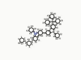 c1ccc(-c2cccc(-c3ccc4c5cc(-c6ccc7c(c6)-c6cc(C(c8ccccc8)(c8ccccc8)c8ccccc8)ccc6C7c6ccccc6)ccc5n(-c5ccccc5)c4c3)c2)cc1